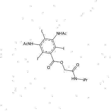 CC(=O)Nc1c(I)c(NC(C)=O)c(I)c(C(=O)OCC(=O)NC(C)C)c1I